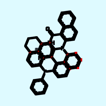 O=C(NC1CCCC[C@@H]1NC(=O)c1c(P(c2ccccc2)c2ccccc2)ccc2ccccc12)c1c(P(c2ccccc2)c2ccccc2)ccc2ccccc12